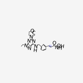 CCn1cnc2c(NCc3cccc(/C=C/C(=O)NO)c3)nc(N3CCOCC3)nc21